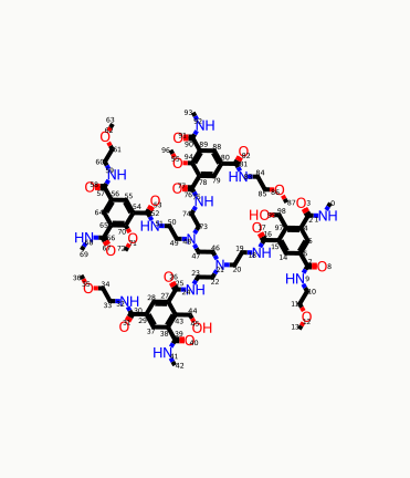 CNC(=O)c1cc(C(=O)NCCOC)cc(C(=O)NCCN(CCNC(=O)c2cc(C(=O)NCCOC)cc(C(=O)NC)c2CO)CCN(CCNC(=O)c2cc(C(=O)NCCOC)cc(C(=O)NC)c2OC)CCNC(=O)c2cc(C(=O)NCCOC)cc(C(=O)NC)c2OC)c1CO